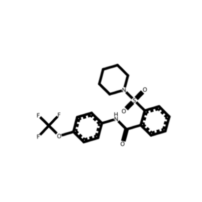 O=C(Nc1ccc(OC(F)(F)F)cc1)c1ccccc1S(=O)(=O)N1CCCCC1